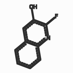 Oc1cc2ccccc2nc1F